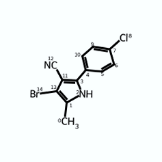 Cc1[nH]c(-c2ccc(Cl)cc2)c(C#N)c1Br